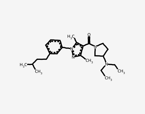 CCN(CC)C1CCN(C(=O)c2c(C)nn(-c3cccc(CCC(C)C)c3)c2C)C1